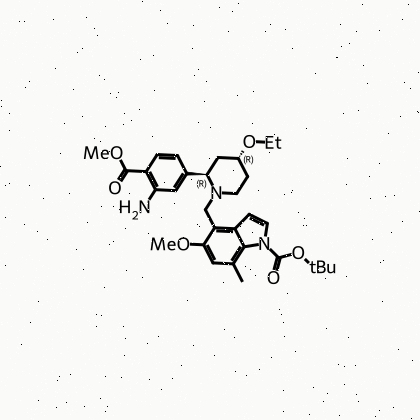 CCO[C@@H]1CCN(Cc2c(OC)cc(C)c3c2ccn3C(=O)OC(C)(C)C)[C@@H](c2ccc(C(=O)OC)c(N)c2)C1